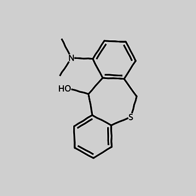 CN(C)c1cccc2c1C(O)c1ccccc1SC2